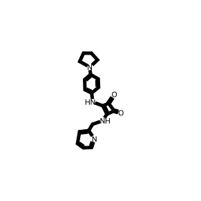 O=c1c(NCc2ccccn2)c(Nc2ccc(N3CCCC3)cc2)c1=O